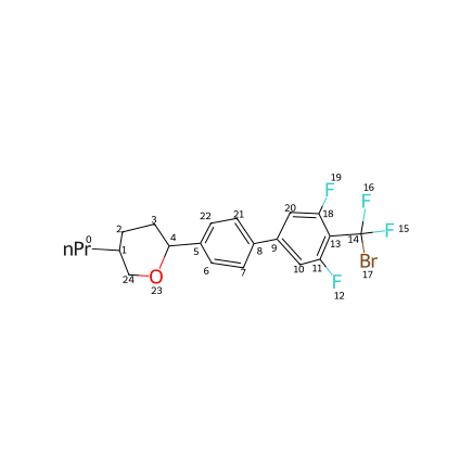 CCCC1CCC(c2ccc(-c3cc(F)c(C(F)(F)Br)c(F)c3)cc2)OC1